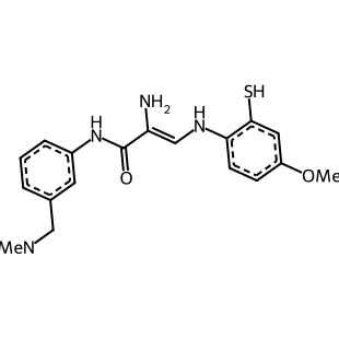 CNCc1cccc(NC(=O)/C(N)=C/Nc2ccc(OC)cc2S)c1